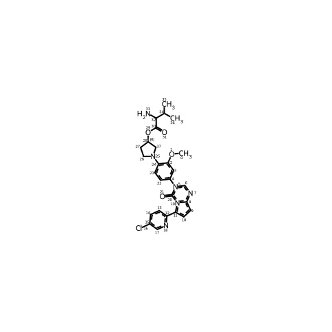 COc1cc(-n2cnc3ccc(-c4ccc(Cl)cn4)n3c2=O)ccc1N1CC[C@@H](OC(=O)C(N)C(C)C)C1